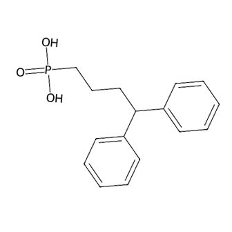 O=P(O)(O)CCCC(c1ccccc1)c1ccccc1